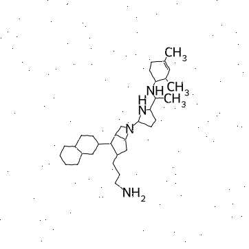 CC1=CC(C)C(NC(C)C2CCC(N3CC4C(C5CCC6CCCCC6C5)C(CCCN)CC43)N2)CC1